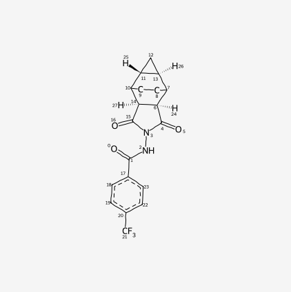 O=C(NN1C(=O)[C@@H]2C3CCC([C@@H]4C[C@@H]34)[C@@H]2C1=O)c1ccc(C(F)(F)F)cc1